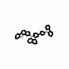 c1ccc2c(N(c3ccc(-c4ccc(-n5c6ccccc6c6ccccc65)cc4)cc3)c3ccc4ccc5c6ccccc6oc5c4c3)cccc2c1